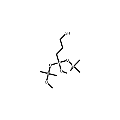 CO[Si](C)(C)O[Si](CCCS)(OC)O[Si](C)(C)C